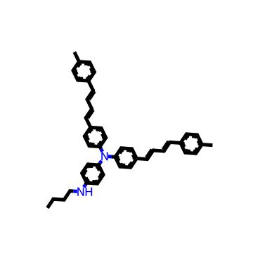 CCCCNc1ccc(N(c2ccc(/C=C/C=C/c3ccc(C)cc3)cc2)c2ccc(/C=C/C=C/c3ccc(C)cc3)cc2)cc1